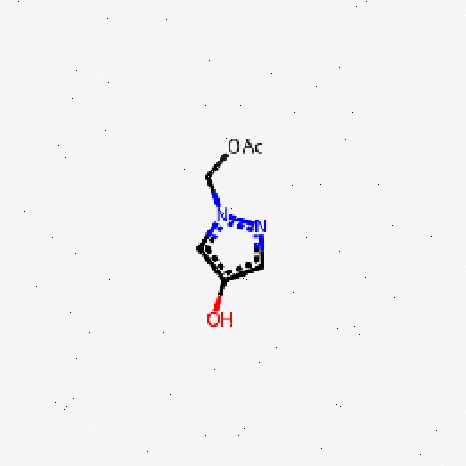 CC(=O)OCn1cc(O)cn1